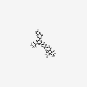 c1ccc(-c2nc(-c3ccc(-c4ccc5c(c4)C4(CCCC4)c4ccccc4-5)cc3)nc(-c3ccc4ccccc4c3)n2)cc1